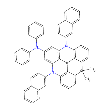 C[Si]1(C)c2cccc3c2B2c4c(cc(N(c5ccccc5)c5ccccc5)cc4N(c4ccc5ccccc5c4)c4cccc1c42)N3c1ccc2ccccc2c1